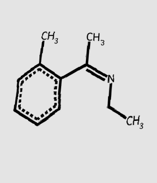 CC/N=C(/C)c1ccccc1C